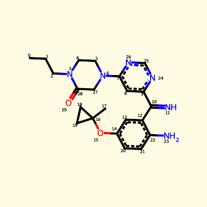 CCCN1CCN(c2cc(C(=N)c3cc(OC4(C)CC4)ccc3N)ncn2)CC1=O